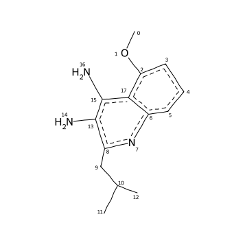 COc1cccc2nc(CC(C)C)c(N)c(N)c12